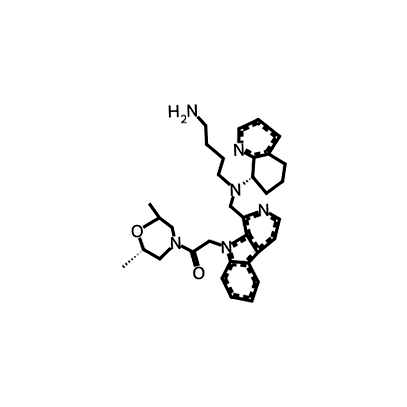 CC1CN(C(=O)Cn2c3ccccc3c3ccnc(CN(CCCCN)[C@H]4CCCc5cccnc54)c32)C[C@H](C)O1